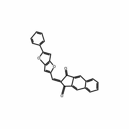 O=C1C(=Cc2cc3oc(-c4ccccc4)cc3o2)C(=O)c2cc3ccccc3cc21